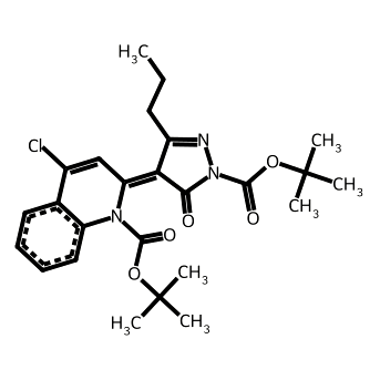 CCCC1=NN(C(=O)OC(C)(C)C)C(=O)C1=C1C=C(Cl)c2ccccc2N1C(=O)OC(C)(C)C